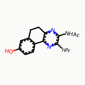 CCCc1nc2c(nc1NC(C)=O)CCc1cc(O)ccc1-2